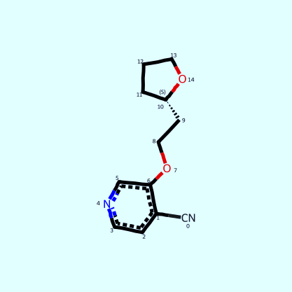 N#Cc1ccncc1OCC[C@@H]1CCCO1